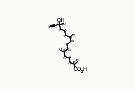 C#CC(C)(O)CCCC(C)CCCC(C)CCCC(C)C(=O)O